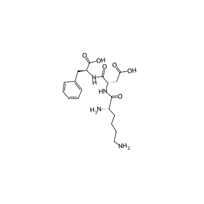 NCCCC[C@H](N)C(=O)N[C@@H](CC(=O)O)C(=O)N[C@@H](Cc1ccccc1)C(=O)O